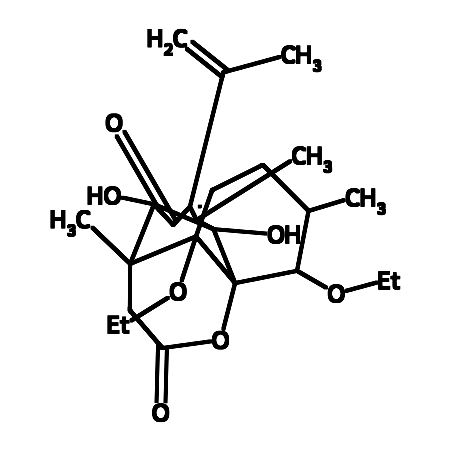 C=C(C)C1=C(C)C2(O)C(O)(C1=O)C1(C)CC(=O)OC23C(OCC)C(C)CCC13OCC